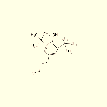 CC(C)(C)c1cc(CCCS)cc(C(C)(C)C)c1O